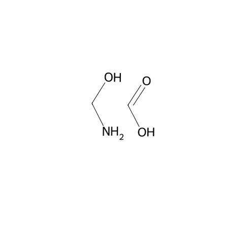 NCO.O=CO